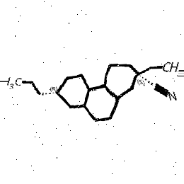 CCC[C@@H]1CCC2C(CCC3C[C@](C#N)(CC)CCC32)C1